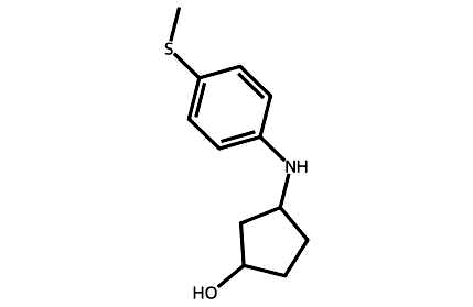 CSc1ccc(NC2CCC(O)C2)cc1